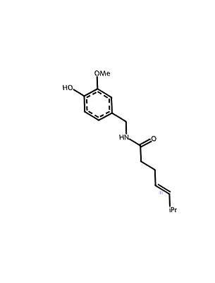 COc1cc(CNC(=O)CC/C=C/C(C)C)ccc1O